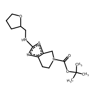 CC(C)(C)OC(=O)N1CCc2nc(NCC3CCCO3)sc2C1